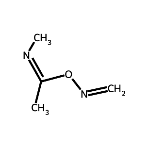 C=NO/C(C)=N\C